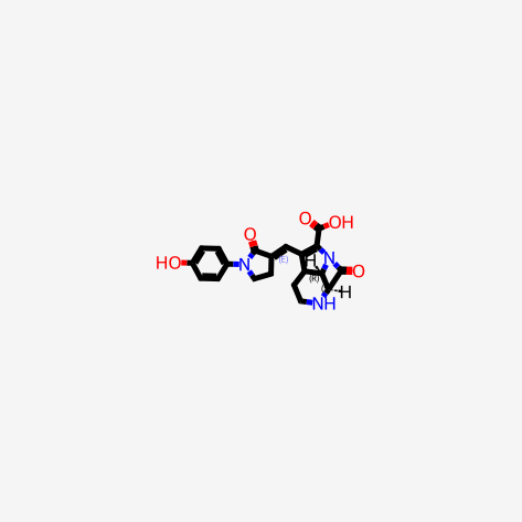 O=C(O)C1=C(/C=C2\CCN(c3ccc(O)cc3)C2=O)C2CCN[C@@H]3C(=O)N1[C@H]23